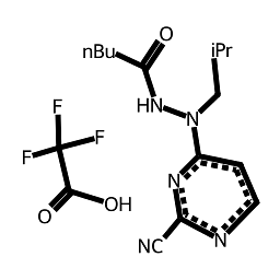 CCCCC(=O)NN(CC(C)C)c1ccnc(C#N)n1.O=C(O)C(F)(F)F